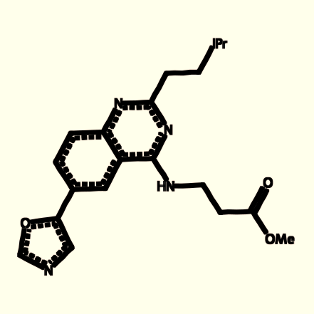 COC(=O)CCNc1nc(CCC(C)C)nc2ccc(-c3cnco3)cc12